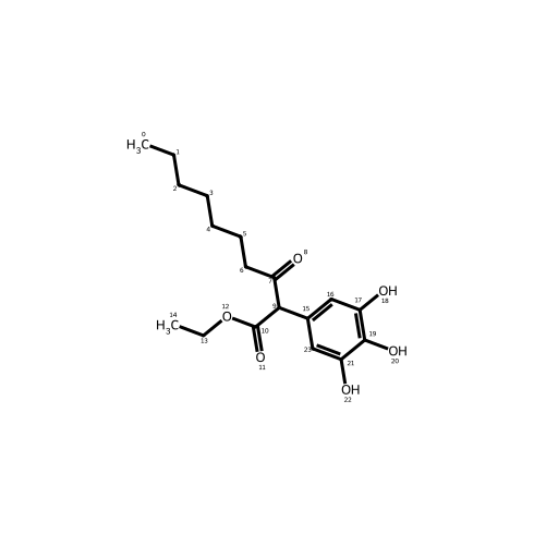 CCCCCCCC(=O)C(C(=O)OCC)c1cc(O)c(O)c(O)c1